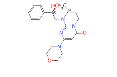 O=c1cc(N2CCOCC2)nc2n1CC[C@@H](C(F)(F)F)N2C[C@H](O)c1ccccc1